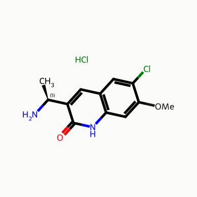 COc1cc2[nH]c(=O)c([C@H](C)N)cc2cc1Cl.Cl